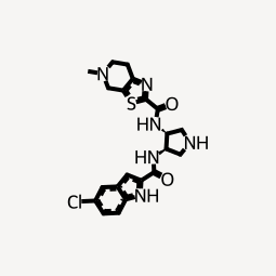 CN1CCc2nc(C(=O)N[C@@H]3CNC[C@H]3NC(=O)c3cc4cc(Cl)ccc4[nH]3)sc2C1